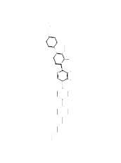 CCCCCC1CCC(C2CCC(c3cc4oc5cc(-c6ccc(CCC)cc6)c(F)c(F)c5c4c(F)c3F)CC2)CC1